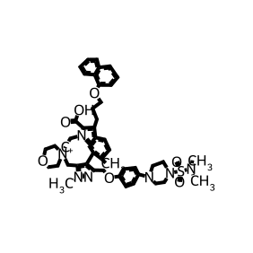 Cc1ccc2c(CCCOc3cccc4ccccc34)c(C(=O)O)n3c2c1-c1c(COc2ccc(N4CCN(S(=O)(=O)N(C)C)CC4)cc2)nn(C)c1C[N+]1(CCOCC1)CC3